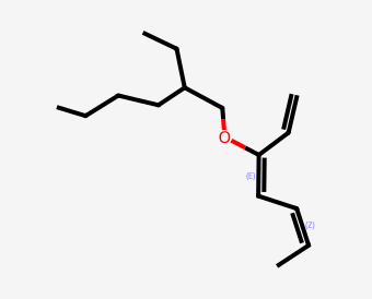 C=C/C(=C\C=C/C)OCC(CC)CCCC